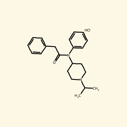 CC(C)N1CCC(N(C(=O)Cc2ccccc2)c2ccccc2)CC1.Cl